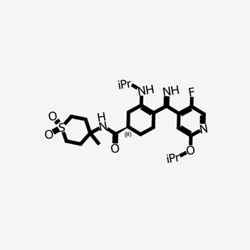 CC(C)NC1=C(C(=N)c2cc(OC(C)C)ncc2F)CC[C@@H](C(=O)NC2(C)CCS(=O)(=O)CC2)C1